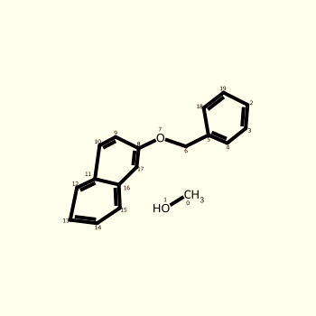 CO.c1ccc(COc2ccc3ccccc3c2)cc1